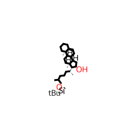 CC(CCC[C@@H](C)[C@H]1[C@@H](O)C[C@H]2[C@@H]3CC=C4CCCC[C@]4(C)[C@H]3CC[C@]12C)CO[Si](C)(C)C(C)(C)C